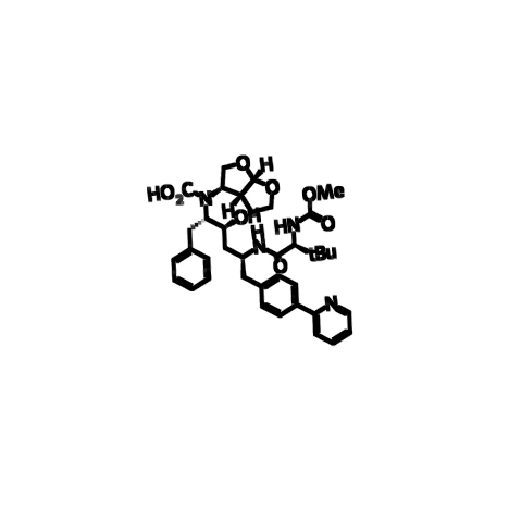 COC(=O)N[C@H](C(=O)N[C@@H](Cc1ccc(-c2ccccn2)cc1)C[C@H](O)[C@H](Cc1ccccc1)N(C(=O)O)[C@H]1CO[C@@H]2OCC[C@@H]21)C(C)(C)C